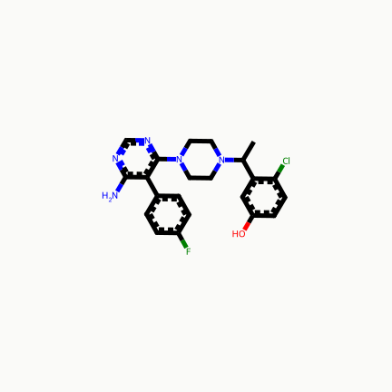 CC(c1cc(O)ccc1Cl)N1CCN(c2ncnc(N)c2-c2ccc(F)cc2)CC1